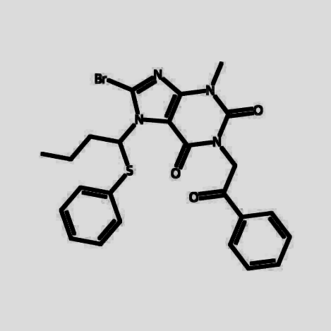 CCCC(Sc1ccccc1)n1c(Br)nc2c1c(=O)n(CC(=O)c1ccccc1)c(=O)n2C